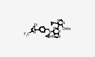 CCn1cc(C(F)(F)F)nc1-c1ccc(CN(c2nc(-c3c(OC)ncnc3C3CC3)nc3nc[nH]c23)C2CC2)cc1